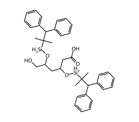 CC(C)([SiH2]OC(CO)CC(CC(=O)O)O[SiH2]C(C)(C)C(c1ccccc1)c1ccccc1)C(c1ccccc1)c1ccccc1